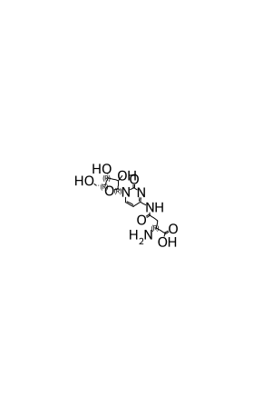 N[C@H](CC(=O)Nc1ccn([C@@H]2O[C@H](CO)[C@H](O)C2O)c(=O)n1)C(=O)O